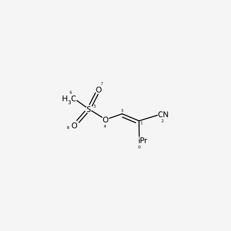 CC(C)/C(C#N)=C\OS(C)(=O)=O